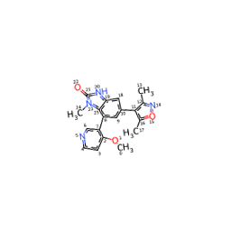 COc1ccncc1-c1cc(-c2c(C)noc2C)cc2[nH]c(=O)n(C)c12